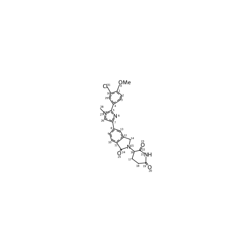 COc1ccc(-c2nc(-c3ccc4c(c3)CN(C3CCC(=O)NC3=O)C4=O)cn2C)cc1Cl